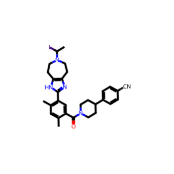 Cc1cc(C)c(-c2nc3c([nH]2)CCN(C(C)I)CC3)cc1C(=O)N1CCC(c2ccc(C#N)cc2)CC1